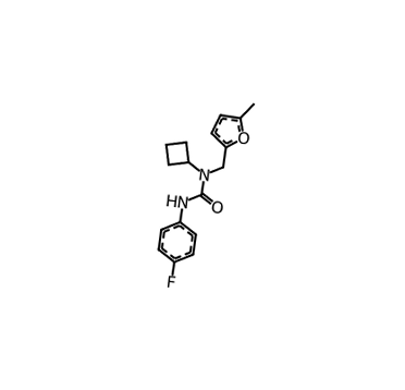 Cc1ccc(CN(C(=O)Nc2ccc(F)cc2)C2CCC2)o1